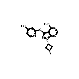 Nc1ncnc2c1c(Oc1cc(O)ccn1)nn2[C@H]1C[C@H](F)C1